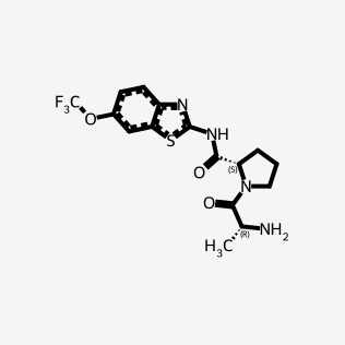 C[C@@H](N)C(=O)N1CCC[C@H]1C(=O)Nc1nc2ccc(OC(F)(F)F)cc2s1